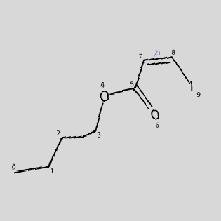 CCCCOC(=O)/C=C\I